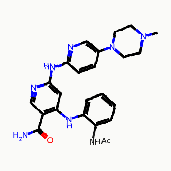 CC(=O)Nc1ccccc1Nc1cc(Nc2ccc(N3CCN(C)CC3)cn2)ncc1C(N)=O